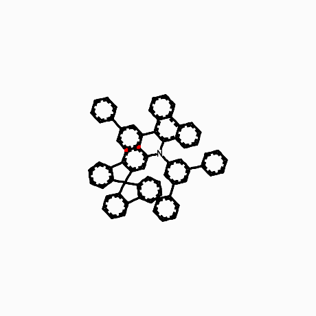 c1ccc(-c2cccc(-c3c(N(c4cc(-c5ccccc5)cc(-c5ccccc5)c4)c4ccc5c(c4)C4(c6ccccc6-c6ccccc64)c4ccccc4-5)c4ccccc4c4ccccc34)c2)cc1